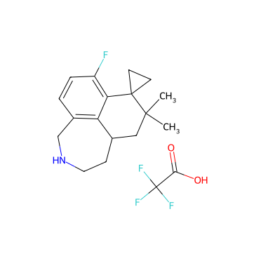 CC1(C)CC2CCNCc3ccc(F)c(c32)C12CC2.O=C(O)C(F)(F)F